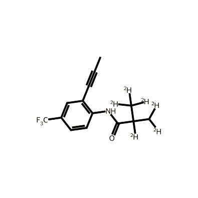 [2H]C([2H])C([2H])(C(=O)Nc1ccc(C(F)(F)F)cc1C#CC)C([2H])([2H])[2H]